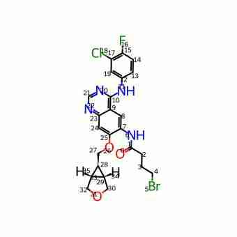 O=C(CCCBr)Nc1cc2c(Nc3ccc(F)c(Cl)c3)ncnc2cc1OC[C@H]1[C@@H]2COC[C@@H]21